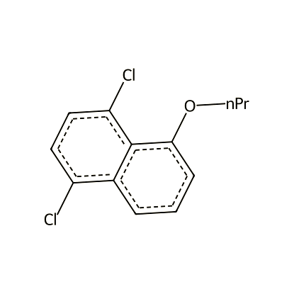 CCCOc1cccc2c(Cl)ccc(Cl)c12